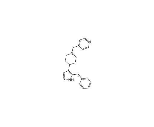 c1ccc(Cc2[nH]ncc2C2CCN(Cc3ccncc3)CC2)cc1